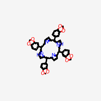 C1=Cc2nc1c(-c1ccc3c(c1)OCO3)c1ccc([nH]1)c(-c1ccc3c(c1)OCO3)c1nc(c(-c3ccc4c(c3)OCO4)c3ccc([nH]3)c2-c2ccc3c(c2)OCO3)C=C1